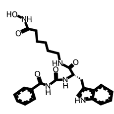 O=C(CCCCCNC(=O)[C@H](Cc1c[nH]c2ccccc12)NC(=O)NC(=O)c1ccccc1)NO